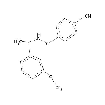 CC(NOc1ccc(C#N)cc1)c1cccc(OC(F)(F)F)c1